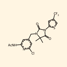 CC(=O)Nc1cc(CN2C(=O)N(c3cc(C(F)(F)F)cs3)C(=O)C2(C)C)cc(Cl)n1